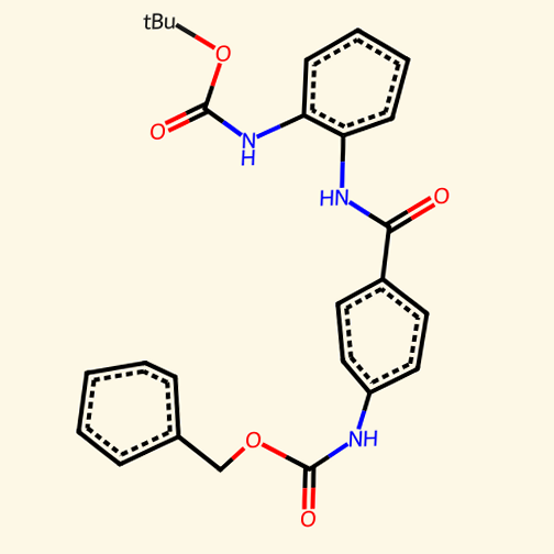 CC(C)(C)OC(=O)Nc1ccccc1NC(=O)c1ccc(NC(=O)OCc2ccccc2)cc1